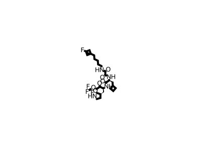 O=C(NCCCCCC12CC(F)(C1)C2)C(=O)N[C@@H](CC1CCC1)C(=O)N[C@@H](C[C@@H]1CCNC1=O)C(=O)COC(F)(F)F